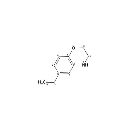 C=Cc1ccc2c(c1)NCCO2